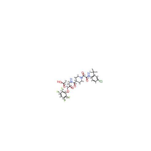 CC(C)(C)c1cc(Cl)ccc1NC(=O)C(=O)N1CCC(C(=O)N[C@@H](CC(=O)O)C(=O)COc2c(F)c(F)cc(F)c2F)CC1